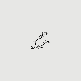 C#CCOC(C)=O.COC(C)=O